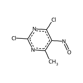 Cc1nc(Cl)nc(Cl)c1N=O